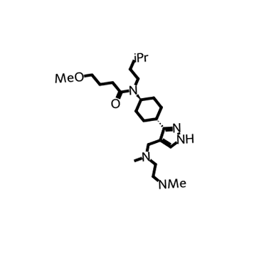 CNCCN(C)Cc1c[nH]nc1[C@H]1CC[C@H](N(CCC(C)C)C(=O)CCCOC)CC1